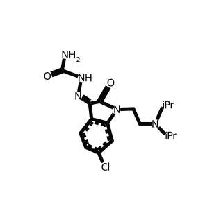 CC(C)N(CCN1C(=O)C(=NNC(N)=O)c2ccc(Cl)cc21)C(C)C